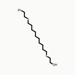 CC(C)CCSCCCCCCCCCCSCCO